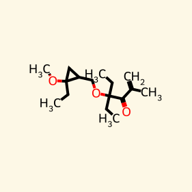 C=C(C)C(=O)C(CC)(CC)OCC1CC1(CC)OC